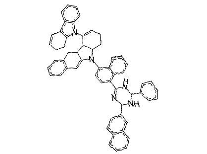 C1=Cc2c(n(C3=CCCC4C3C3Cc5ccccc5C=C3N4c3ccc(C4=NC(c5ccc6ccccc6c5)NC(c5ccccc5)N4)c4ccccc34)c3ccccc23)CC1